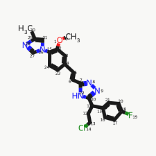 COc1cc(/C=C/c2nnc(C(CCCl)c3ccc(F)cc3)[nH]2)ccc1-n1cnc(C)c1